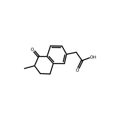 CC1CCc2cc(CC(=O)O)ccc2C1=O